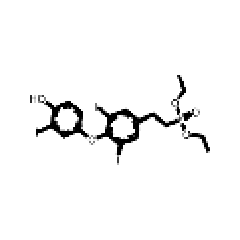 CCOP(=O)(CCc1cc(I)c(Oc2ccc(O)c(I)c2)c(I)c1)OCC